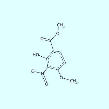 COC(=O)c1ccc(OC)c([N+](=O)[O-])c1O